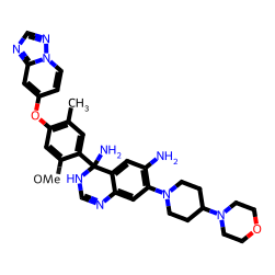 COc1cc(Oc2ccn3ncnc3c2)c(C)cc1C1(N)NC=Nc2cc(N3CCC(N4CCOCC4)CC3)c(N)cc21